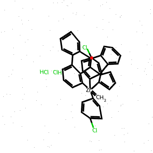 Cl.Cl.[CH2]=[Zr]([C]1=CC=CC1)([c]1ccc(Cl)cc1)([c]1ccc(Cl)cc1)[c]1cccc2c1c1c(c3ccccc32)-c2ccccc2C1